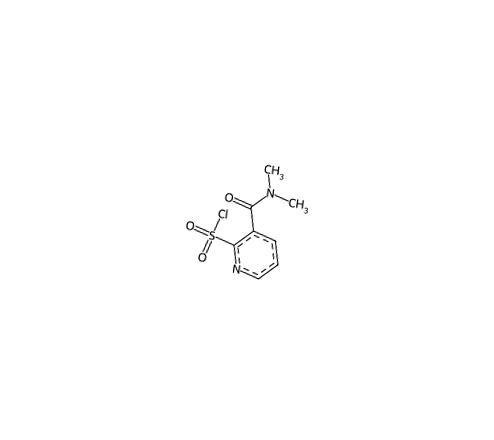 CN(C)C(=O)c1cccnc1S(=O)(=O)Cl